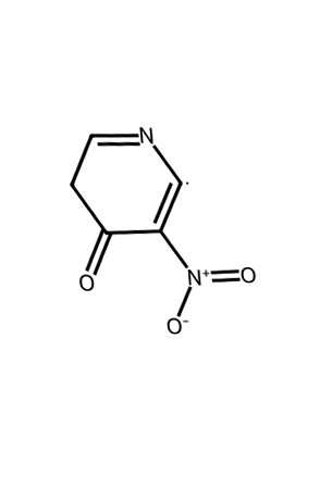 O=C1CC=N[C]=C1[N+](=O)[O-]